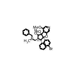 COc1cncc2c1[C@]1(O)[C@H](O)[C@H](CN(C)Cc3ccccc3)[C@@H](c3ccccc3)[C@]1(c1ccc(Br)cc1)O2